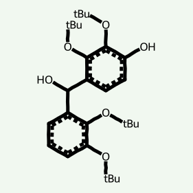 CC(C)(C)Oc1cccc(C(O)c2ccc(O)c(OC(C)(C)C)c2OC(C)(C)C)c1OC(C)(C)C